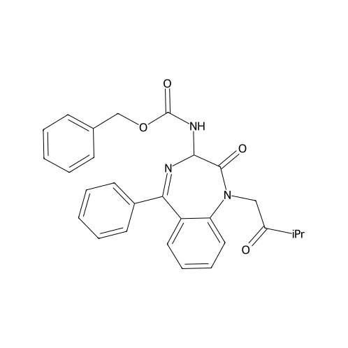 CC(C)C(=O)CN1C(=O)C(NC(=O)OCc2ccccc2)N=C(c2ccccc2)c2ccccc21